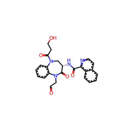 O=CCN1C(=O)[C@@H](NC(=O)c2nccc3ccccc23)CN(C(=O)CCO)c2ccccc21